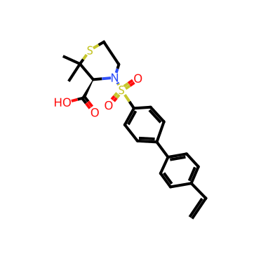 C=Cc1ccc(-c2ccc(S(=O)(=O)N3CCSC(C)(C)[C@@H]3C(=O)O)cc2)cc1